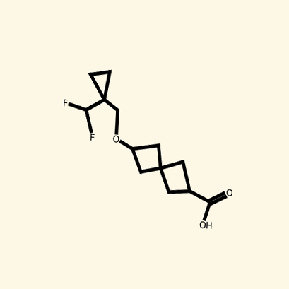 O=C(O)C1CC2(CC(OCC3(C(F)F)CC3)C2)C1